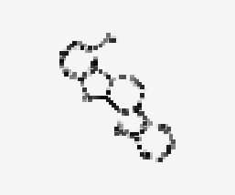 CC(=O)c1cccc2c1C1C=Cc3c(oc4ccccc34)C1O2